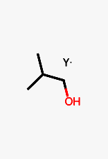 CC(C)CO.[Y]